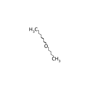 CCCCC=CC=COCCCCCC